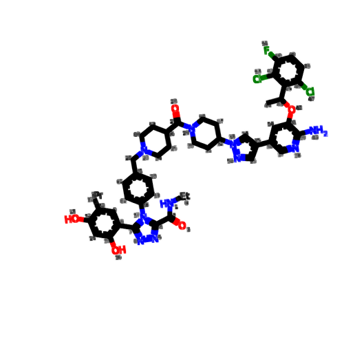 CCNC(=O)c1nnc(-c2cc(C(C)C)c(O)cc2O)n1-c1ccc(CN2CCC(C(=O)N3CCC(n4cc(-c5cnc(N)c(OC(C)c6c(Cl)ccc(F)c6Cl)c5)cn4)CC3)CC2)cc1